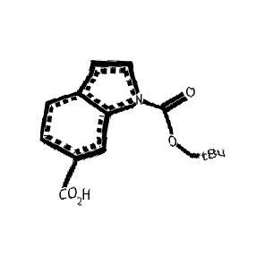 CC(C)(C)OC(=O)n1ccc2ccc(C(=O)O)cc21